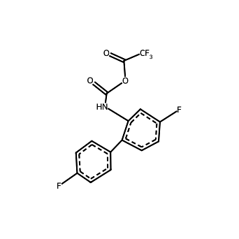 O=C(Nc1cc(F)ccc1-c1ccc(F)cc1)OC(=O)C(F)(F)F